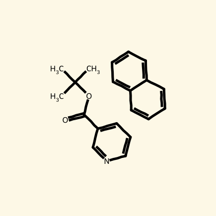 CC(C)(C)OC(=O)c1cccnc1.c1ccc2ccccc2c1